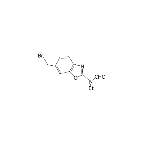 CCN(C=O)c1nc2ccc(CBr)cc2o1